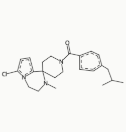 CC(C)Cc1ccc(C(=O)N2CCC3(CC2)c2ccc(Cl)n2CCN3C)cc1